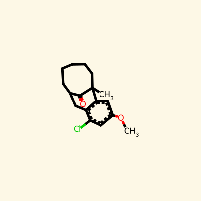 COc1cc(Cl)c2c(c1)C1(C)CCCCCC(C2)C1=O